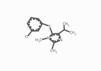 Cc1nc(C(C)C)c(Sc2cccc(Cl)c2)n1C